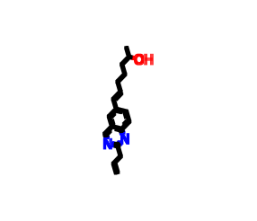 C=CCc1ncc2cc(/C=C/CCCC(C)O)ccc2n1